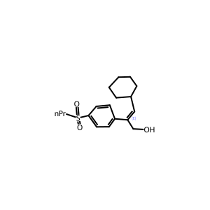 CCCS(=O)(=O)c1ccc(/C(=C\C2CCCCC2)CO)cc1